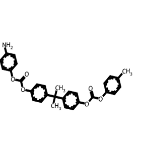 Cc1ccc(OC(=O)Oc2ccc(C(C)(C)c3ccc(OC(=O)Oc4ccc(N)cc4)cc3)cc2)cc1